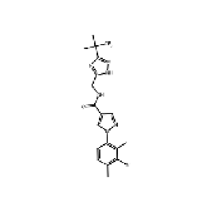 Cc1ccc(-n2cc(C(=O)NCc3nc(C(C)(C)C(F)(F)F)n[nH]3)cn2)c(C)c1Br